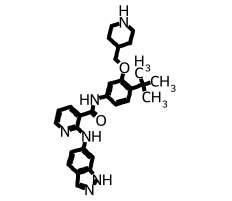 CC(C)(C)c1ccc(NC(=O)c2cccnc2Nc2ccc3cn[nH]c3c2)cc1OCC1CCNCC1